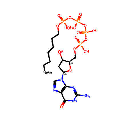 CNCCCCCCOP(=O)(O)OP(=O)(O)OP(=O)(O)OP(=O)(O)OC[C@H]1O[C@@H](n2cnc3c(=O)[nH]c(N)nc32)CC1O